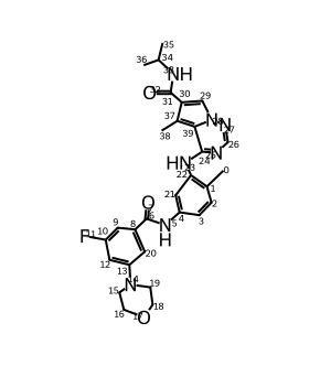 Cc1ccc(NC(=O)c2cc(F)cc(N3CCOCC3)c2)cc1Nc1ncnn2cc(C(=O)NC(C)C)c(C)c12